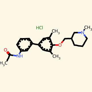 CC(=O)Nc1cccc(-c2cc(C)c(OCC3CCCN(C)C3)c(C)c2)c1.Cl